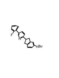 CCCCc1ccc2c(c1)CC(c1ccc(-c3ccccc3F)cn1)C2